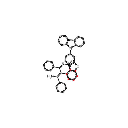 CC(/N=C(\C(=C(/N)c1ccccc1)c1cccc2oc3cc(-n4c5ccccc5c5ccccc54)ccc3c12)c1ccccc1)c1ccccc1